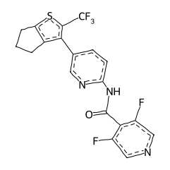 O=C(Nc1ccc(-c2c(C(F)(F)F)sc3c2CCC3)cn1)c1c(F)cncc1F